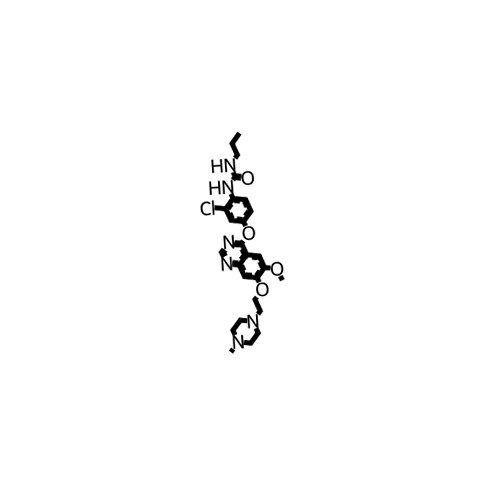 CCCNC(=O)Nc1ccc(Oc2ncnc3cc(OCCN4CCN(C)CC4)c(OC)cc23)cc1Cl